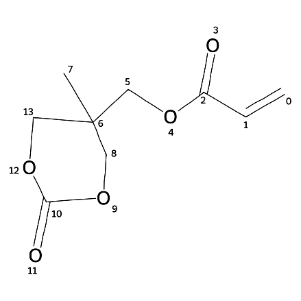 C=CC(=O)OCC1(C)COC(=O)OC1